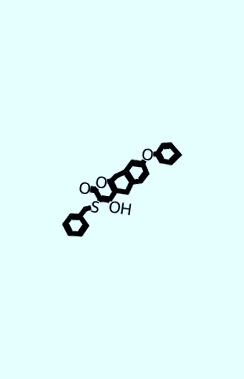 O=c1oc2c(c(O)c1SCc1ccccc1)Cc1ccc(Oc3ccccc3)cc1C2